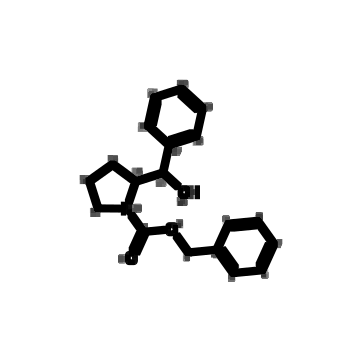 O=C(OCc1ccccc1)N1CCCC1C(O)c1ccccc1